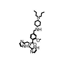 CCCN(CCC)[C@H]1CC[C@H](NCc2ccc(C(=O)N(Cc3ncc[nH]3)Cc3ncc[nH]3)c(OC)c2)CC1